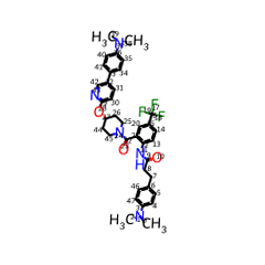 CN(C)c1ccc(CCC(=O)Nc2ccc(C(F)(F)F)cc2C(=O)N2CCC(Oc3ccc(-c4ccc(N(C)C)cc4)cn3)CC2)cc1